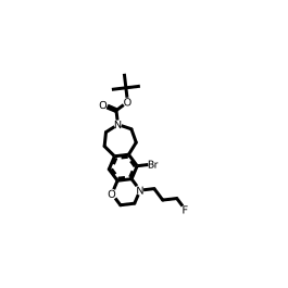 CC(C)(C)OC(=O)N1CCc2cc3c(c(Br)c2CC1)N(CCCF)CCO3